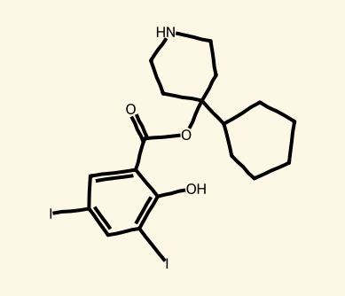 O=C(OC1(C2CCCCC2)CCNCC1)c1cc(I)cc(I)c1O